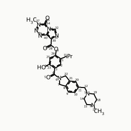 CC(C)c1cc(C(=O)N2Cc3ccc(CN4CCN(C)CC4)cc3C2)c(O)cc1OC(=O)c1ncn2c(=O)n(C)nnc12